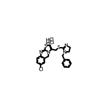 Cl.Cl.Clc1ccc2c(c1)CN1C(CSC3=NCCN3Cc3ccccc3)=CSC1=N2